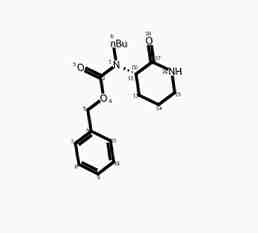 CCCCN(C(=O)OCc1ccccc1)[C@H]1CCCNC1=O